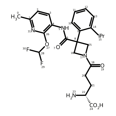 Cc1ccc(NC(=O)C2(c3ccccc3C(C)C)CN(C(=O)CC[C@@H](N)C(=O)O)C2)c(OC(F)F)n1